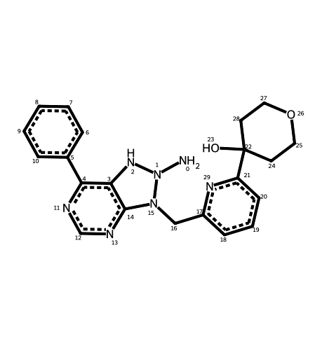 NN1Nc2c(-c3ccccc3)ncnc2N1Cc1cccc(C2(O)CCOCC2)n1